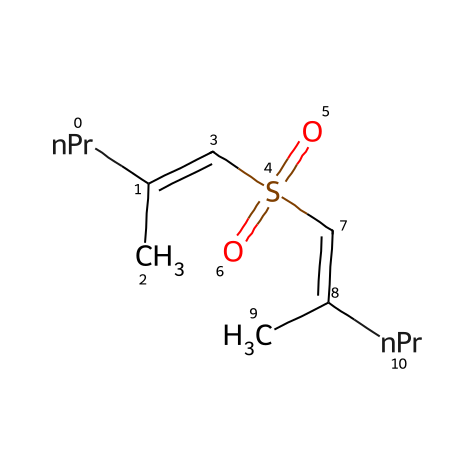 CCCC(C)=CS(=O)(=O)C=C(C)CCC